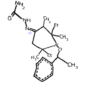 CCC1(C)C/C(=N/NC(N)=O)C(C)C(C)(CC)N1OC(C)c1ccccc1